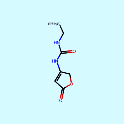 CCCCCCCCNC(=O)NC1=CC(=O)OC1